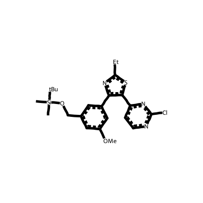 CCc1nc(-c2cc(CO[Si](C)(C)C(C)(C)C)cc(OC)c2)c(-c2ccnc(Cl)n2)s1